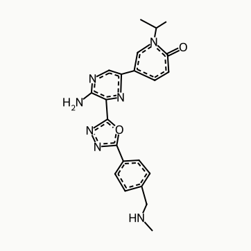 CNCc1ccc(-c2nnc(-c3nc(-c4ccc(=O)n(C(C)C)c4)cnc3N)o2)cc1